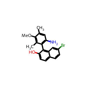 COc1c(C)cc(N)c(-c2c(O)ccc3ccc(Br)cc23)c1C